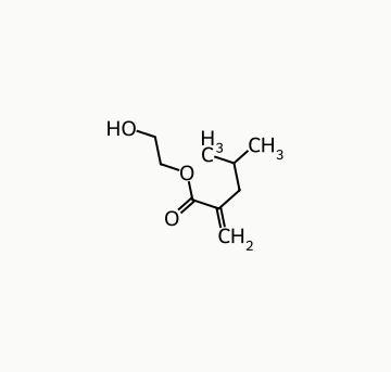 C=C(CC(C)C)C(=O)OCCO